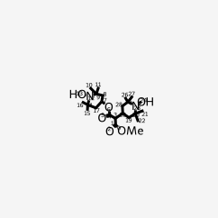 COC(=O)C(C(=O)OC1CC(C)(C)N(O)C(C)(C)C1)C1CC(C)(C)N(O)C(C)(C)C1